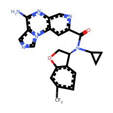 Nc1nc2cnc(C(=O)N(C3CC3)[C@@H]3COc4cc(C(F)(F)F)ccc43)cc2n2cncc12